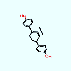 CC.Oc1ccc(C2C=CC(c3ccc(O)cc3)CC2)cc1